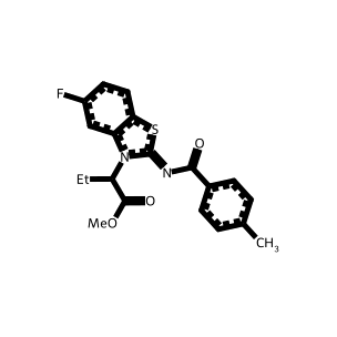 CCC(C(=O)OC)n1c(=NC(=O)c2ccc(C)cc2)sc2ccc(F)cc21